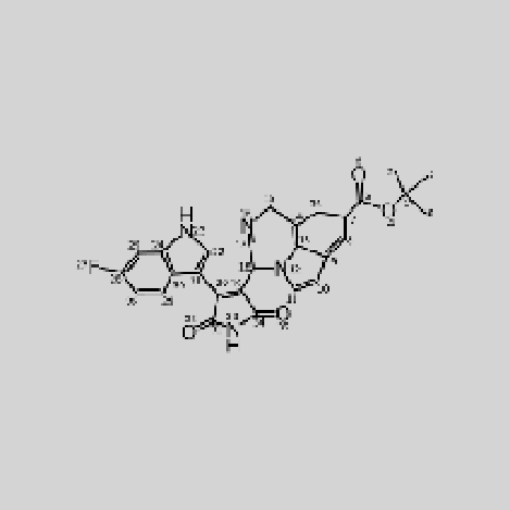 CC(C)(C)OC(=O)C1C=c2ccn3c2=C(CN=CC3C2=C(c3c[nH]c4cc(F)ccc34)C(=O)NC2=O)C1